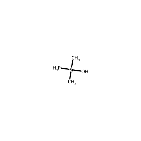 C[Si](C)(O)P